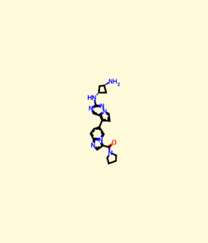 N[C@H]1C[C@H](Nc2ncc3c(-c4ccc5ncc(C(=O)N6CCCC6)n5c4)ccn3n2)C1